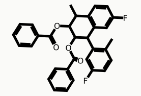 Cc1ccc(F)cc1C1c2cc(F)ccc2C(C)C(OC(=O)c2ccccc2)C1OC(=O)c1ccccc1